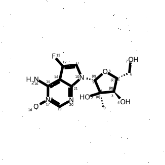 C[C@@]1(O)[C@H](O)[C@@H](CO)O[C@H]1n1cc(F)c2c(N)[n+]([O-])cnc21